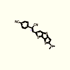 CN(C)c1cc2sc3cc(/C=C(\C#N)c4ccc(C#N)cc4)sc3c2s1